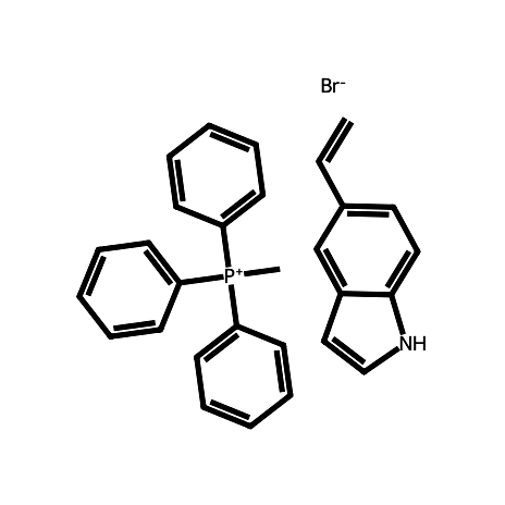 C=Cc1ccc2[nH]ccc2c1.C[P+](c1ccccc1)(c1ccccc1)c1ccccc1.[Br-]